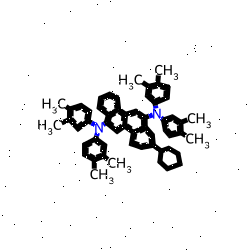 Cc1ccc(N(c2ccc(C)c(C)c2)c2cc3c4ccc(C5CCCCC5)cc4c(N(c4ccc(C)c(C)c4)c4ccc(C)c(C)c4)cc3c3ccccc23)cc1C